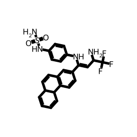 NC(/C=C(\Nc1ccc(NS(N)(=O)=O)cc1)c1ccc2c(c1)C=CC1C=CC=CC21)C(F)(F)F